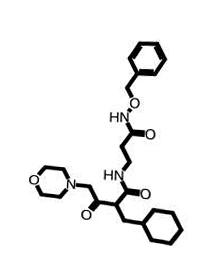 O=C(CCNC(=O)C(CC1CCCCC1)C(=O)CN1CCOCC1)NOCc1ccccc1